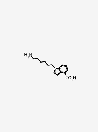 NCCCCCCn1ccc2c(C(=O)O)cccc21